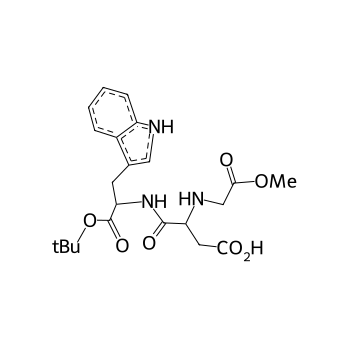 COC(=O)CNC(CC(=O)O)C(=O)NC(Cc1c[nH]c2ccccc12)C(=O)OC(C)(C)C